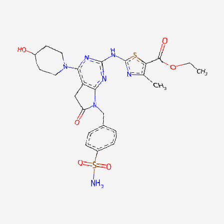 CCOC(=O)c1sc(Nc2nc(N3CCC(O)CC3)c3c(n2)N(Cc2ccc(S(N)(=O)=O)cc2)C(=O)C3)nc1C